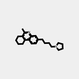 Cc1nc2cc(CCCCN3CCCC3)ccc2c2c1CCCC2